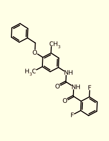 Cc1cc(NC(=O)NC(=O)c2c(F)cccc2F)cc(C)c1OCc1ccccc1